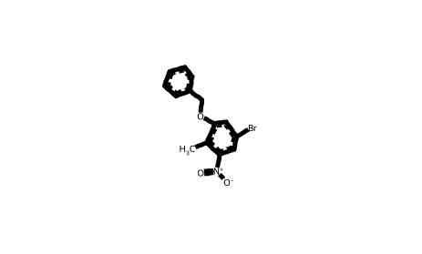 Cc1c(OCc2ccccc2)cc(Br)cc1[N+](=O)[O-]